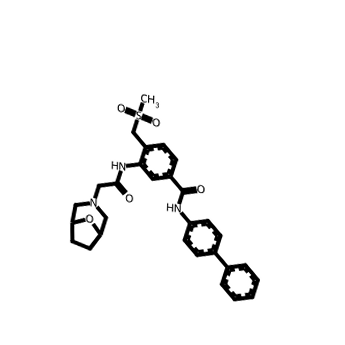 CS(=O)(=O)Cc1ccc(C(=O)Nc2ccc(-c3ccccc3)cc2)cc1NC(=O)CN1CC2CCC(C1)O2